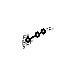 CCCc1ccc(-c2ccc(C#Cc3c(F)c(F)c(N=C=S)c(F)c3F)cc2)cc1